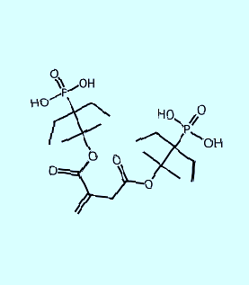 C=C(CC(=O)OC(C)(C)C(CC)(CC)P(=O)(O)O)C(=O)OC(C)(C)C(CC)(CC)P(=O)(O)O